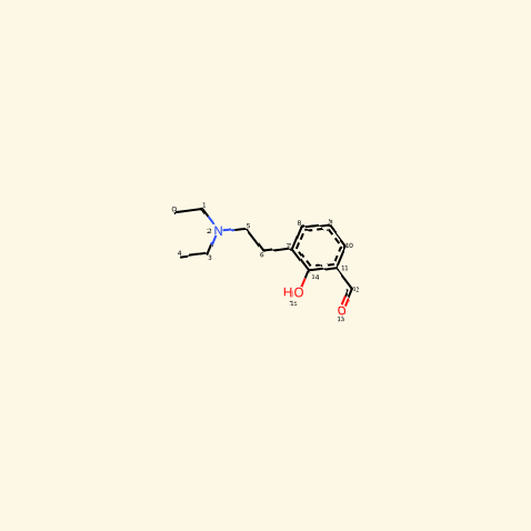 CCN(CC)CCc1cccc(C=O)c1O